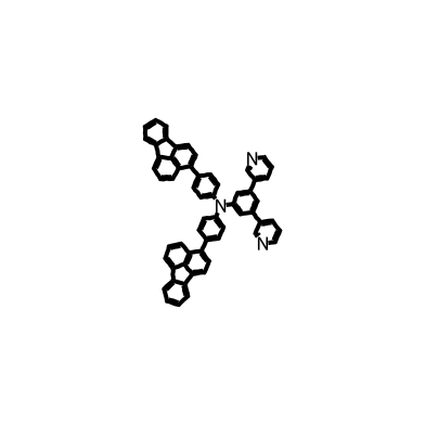 c1cncc(-c2cc(-c3cccnc3)cc(N(c3ccc(-c4ccc5c6c(cccc46)-c4ccccc4-5)cc3)c3ccc(-c4ccc5c6c(cccc46)-c4ccccc4-5)cc3)c2)c1